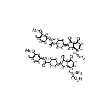 COc1cc(NC(=O)C2CCC(N3Cc4c(CN(C(=O)O)C(C)(C)C)ccc(Cl)c4C3=O)CC2)ccc1C.COc1cc(NC(=O)C2CCC(N3Cc4c(CN)ccc(Cl)c4C3=O)CC2)ccc1C